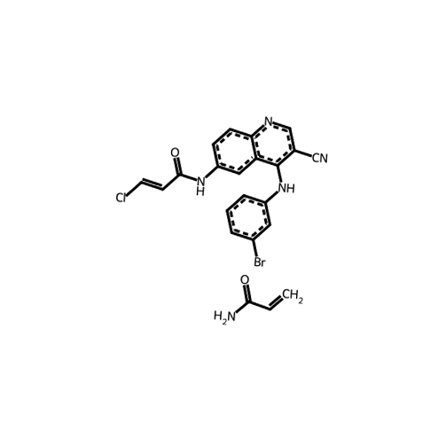 C=CC(N)=O.N#Cc1cnc2ccc(NC(=O)C=CCl)cc2c1Nc1cccc(Br)c1